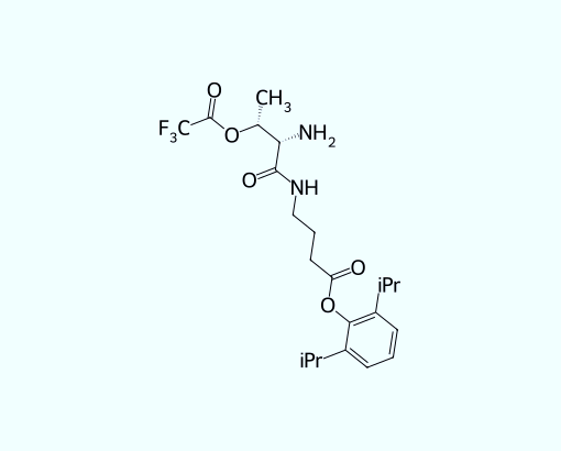 CC(C)c1cccc(C(C)C)c1OC(=O)CCCNC(=O)[C@@H](N)[C@@H](C)OC(=O)C(F)(F)F